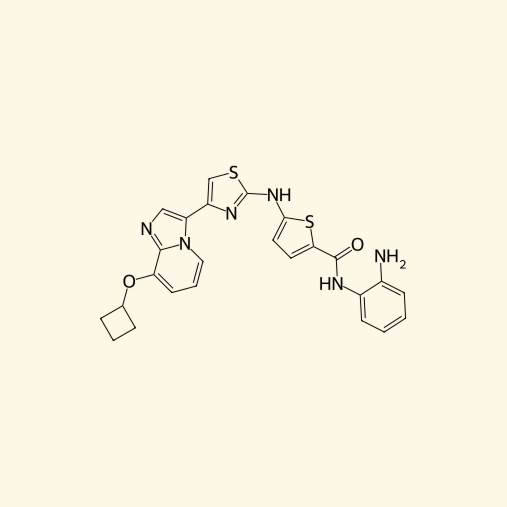 Nc1ccccc1NC(=O)c1ccc(Nc2nc(-c3cnc4c(OC5CCC5)cccn34)cs2)s1